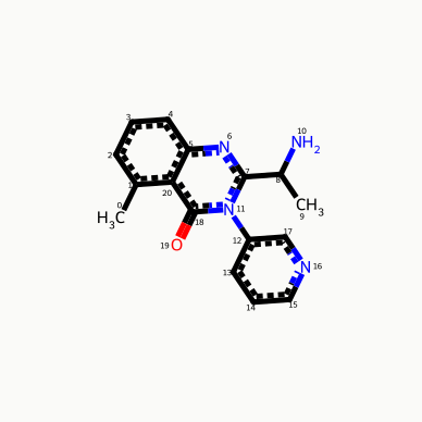 Cc1cccc2nc(C(C)N)n(-c3cccnc3)c(=O)c12